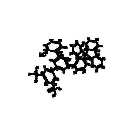 CC(C)(C)c1cc(-c2cc(-c3cccc(C4(c5ccccn5)c5ccccc5-c5ccccc54)c3)nc(-c3ccccc3O)c2)cc(C(C)(C)C)c1